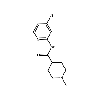 CN1CCC(C(=O)Nc2cc(Cl)ccn2)CC1